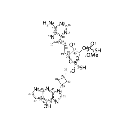 COP(=O)(S)OC[C@H]1O[C@@H](n2cnc3c(N)ncnc32)C[C@@H]1O[P@@](=O)(S)OC[C@H]1C[C@@H](n2cnc3c(O)n4ccnc4nc32)C1